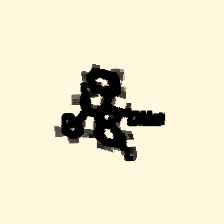 COCn1c(-c2ccccc2)c(/C(=C\C(F)(F)F)c2ccco2)c2ccc(Cl)cc21